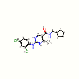 O=C(NCC1CCCC1)c1cnc(Nc2ccc(Cl)cc2Cl)nc1C(F)(F)F